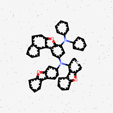 c1ccc(N(c2ccccc2)c2cc(N(c3ccc4c(c3)oc3ccccc34)c3cccc4oc5ccccc5c34)cc3c2oc2ccc4ccccc4c23)cc1